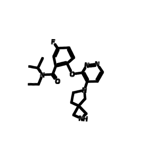 CCN(C(=O)c1cc(F)ccc1Oc1nnccc1N1CCC2(CNC2)C1)C(C)C